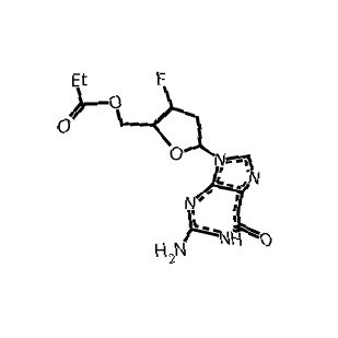 CCC(=O)OCC1OC(n2cnc3c(=O)[nH]c(N)nc32)CC1F